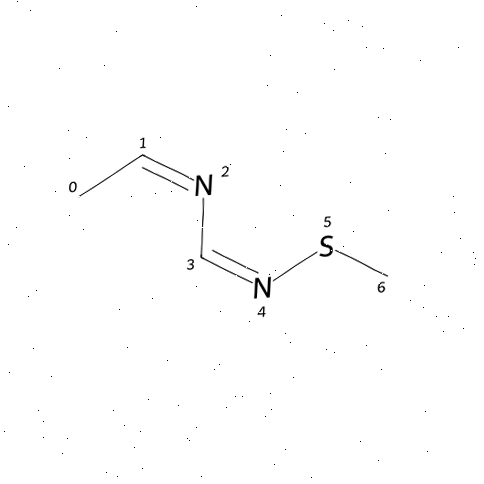 C/C=N\C=N/SC